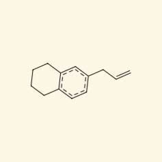 C=CCc1ccc2c(c1)CCCC2